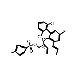 C=C[C@@H](COS(=O)(=O)c1ccc(C)cc1)Oc1c(C=CC)cc(F)cc1-c1c(Cl)cccc1Cl